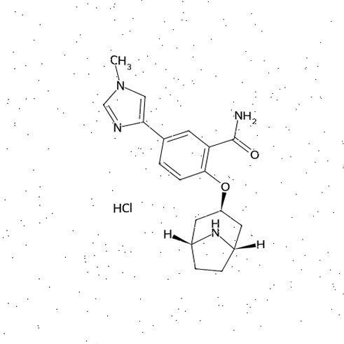 Cl.Cn1cnc(-c2ccc(O[C@@H]3C[C@H]4CC[C@@H](C3)N4)c(C(N)=O)c2)c1